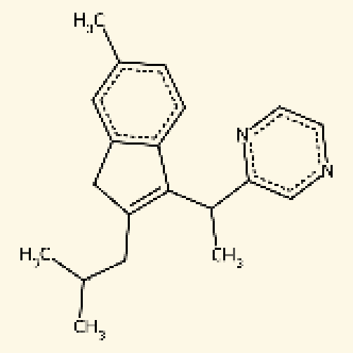 C[C](C)CC1=C(C(C)c2cnccn2)c2ccc(C)cc2C1